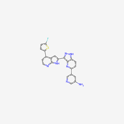 Nc1cncc(-c2ccc3[nH]nc(-c4cc5c(-c6ccc(F)s6)ccnc5[nH]4)c3n2)c1